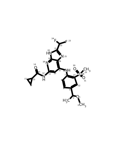 COC(C)c1ccc(Nc2cc(NC(=O)C3CC3)nc3[nH]c(C(F)F)nc23)c(S(C)(=O)=O)c1